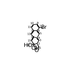 O=CC1C=c2cc3c(Br)cccc3cc2=CC1(O)O